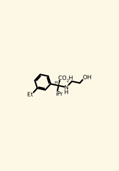 CCc1cccc([C@@](NCCO)(C(=O)O)C(C)C)c1